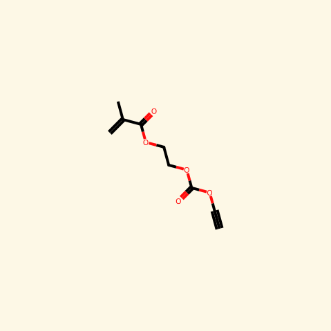 C#COC(=O)OCCOC(=O)C(=C)C